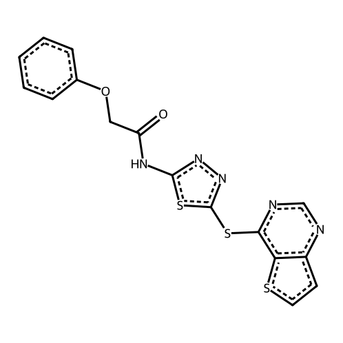 O=C(COc1ccccc1)Nc1nnc(Sc2ncnc3ccsc23)s1